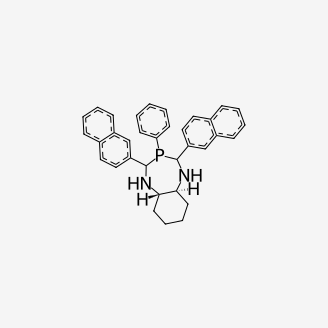 c1ccc(P2C(c3ccc4ccccc4c3)N[C@H]3CCCC[C@@H]3NC2c2ccc3ccccc3c2)cc1